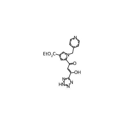 CCOC(=O)c1cc(C(=O)C=C(O)c2nn[nH]n2)n(Cc2ccncc2)c1